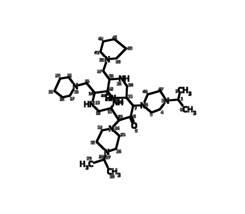 CC(C)N1CCN(C(C(=O)C(C2CNC(CN3CCCCC3)CN2)N2CCN(C(C)C)CC2)C2CNC(CN3CCCCC3)CN2)CC1